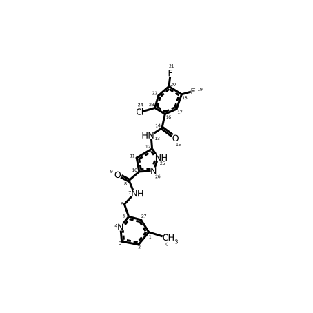 Cc1ccnc(CNC(=O)c2cc(NC(=O)c3cc(F)c(F)cc3Cl)[nH]n2)c1